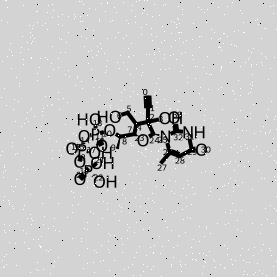 C#CC1(O)C(CO)[C@@H]([C@@H](C)OP(=O)(O)OP(=O)(O)OP(=O)(O)O)O[C@H]1n1c(C)cc(=O)[nH]c1=O